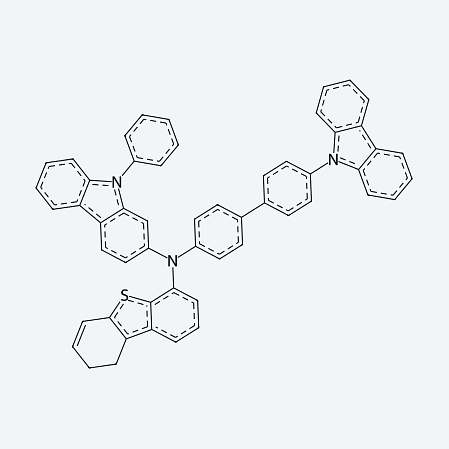 C1=Cc2sc3c(N(c4ccc(-c5ccc(-n6c7ccccc7c7ccccc76)cc5)cc4)c4ccc5c6ccccc6n(-c6ccccc6)c5c4)cccc3c2CC1